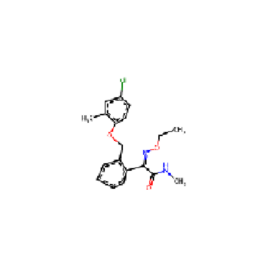 CCON=C(C(=O)NC)c1ccccc1COc1ccc(Cl)cc1C